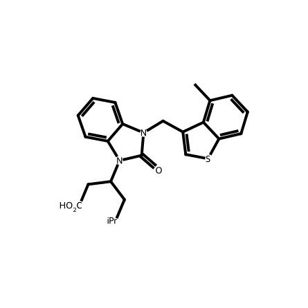 Cc1cccc2scc(Cn3c(=O)n(C(CC(=O)O)CC(C)C)c4ccccc43)c12